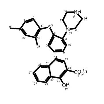 Cc1ccc(Sc2ccccc2N2CCNCC2)c(C)c1.O=C(O)c1ccc2ccccc2c1O